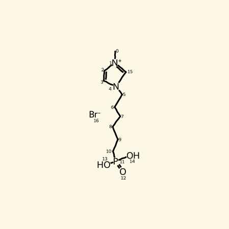 C[n+]1ccn(CCCCCCP(=O)(O)O)c1.[Br-]